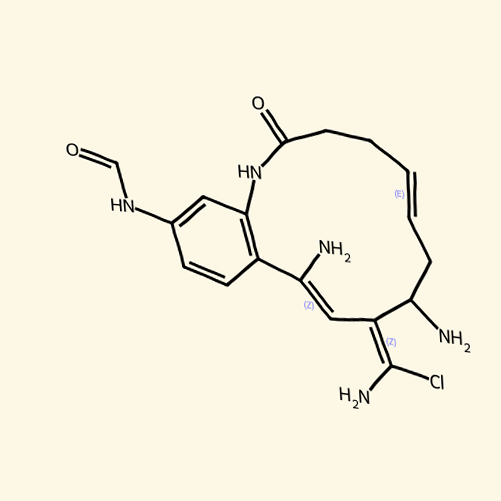 N/C1=C\C(=C(/N)Cl)C(N)C/C=C/CCC(=O)Nc2cc(NC=O)ccc21